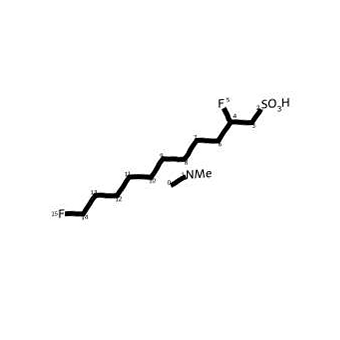 CNC.O=S(=O)(O)CC(F)CCCCCCCCCF